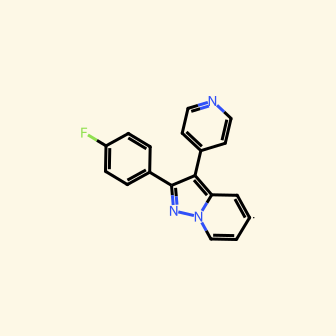 Fc1ccc(-c2nn3cc[c]cc3c2-c2ccncc2)cc1